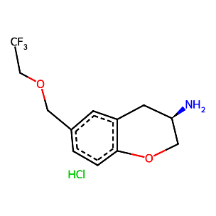 Cl.N[C@H]1COc2ccc(COCC(F)(F)F)cc2C1